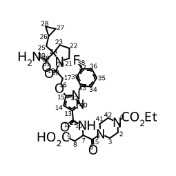 CCOC(=O)N1CCN(C(=O)C(CC(=O)O)NC(=O)c2cc(OCC(=O)N3CCCC3(CC3CC3)C(N)=O)n(-c3cccc(F)c3)n2)CC1